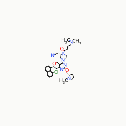 CN(C)C/C=C/C(=O)N1CCN(c2nc(OC[C@@H]3CCCN3C)nc3c2CO[C@H](c2cccc4cccc(Cl)c24)C3)C[C@@H]1CC#N